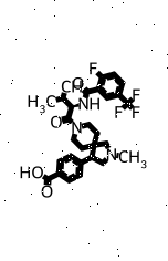 CC(C)[C@@H](NC(=O)c1cc(C(F)(F)F)ccc1F)C(=O)N1CCC2(CC1)CN(C)CC2c1ccc(C(=O)O)cc1